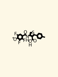 COc1c(F)cc(C(=O)Nc2csc(-c3ccc(C)cc3)c2C(=O)O)c(F)c1F